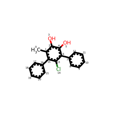 Cc1c(O)c(O)c(-c2ccccc2)c(Cl)c1-c1ccccc1